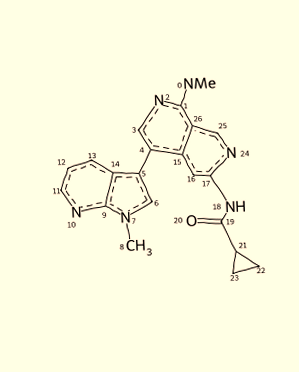 CNc1ncc(-c2cn(C)c3ncccc23)c2cc(NC(=O)C3CC3)ncc12